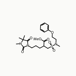 COC(=O)C(CCCN1C(=O)N(C)C(C)(C)C1=O)CS(=O)(=O)N(C)CCOc1ccccc1